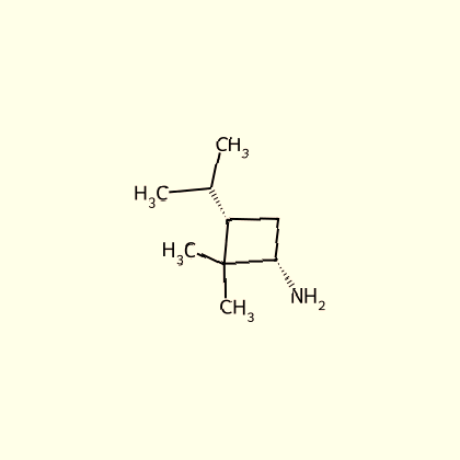 CC(C)[C@@H]1C[C@H](N)C1(C)C